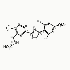 COc1cc(F)c(-n2ccc(-c3ccc(C)c(CNC(=O)O)c3)n2)c(F)c1